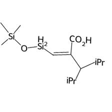 CC(C)C(C(=C[SiH2]O[Si](C)(C)C)C(=O)O)C(C)C